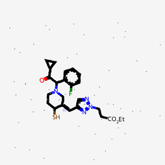 CCOC(=O)CCn1ncc(/C=C2\CN(C(C(=O)C3CC3)c3ccccc3F)CCC2S)n1